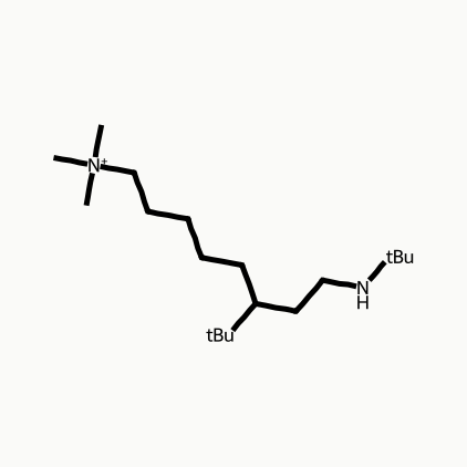 CC(C)(C)NCCC(CCCCC[N+](C)(C)C)C(C)(C)C